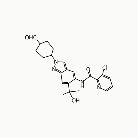 CC(C)(O)c1cc2nn(C3CCC(C=O)CC3)cc2cc1NC(=O)c1ncccc1Cl